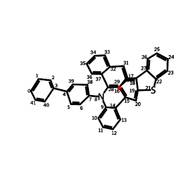 c1ccc(-c2ccc(N(c3ccccc3-c3ccc4c(c3)sc3ccccc34)c3cccc4ccccc34)cc2)cc1